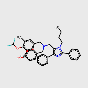 CCCCn1c(-c2ccccc2)nc(-c2ccccc2)c1CN(Cc1ccc(O)cc1)Cc1cc(C)c(OC(F)F)c(C)c1